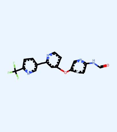 O=[C]Nc1ccc(Oc2ccnc(-c3ccc(C(F)(F)F)nc3)c2)cn1